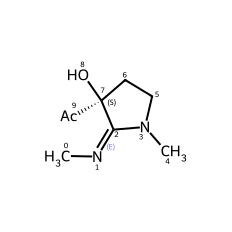 C/N=C1/N(C)CC[C@@]1(O)C(C)=O